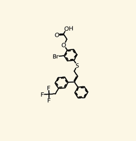 O=C(O)COc1ccc(SCC=C(c2ccccc2)c2cccc(CC(F)(F)F)c2)cc1Br